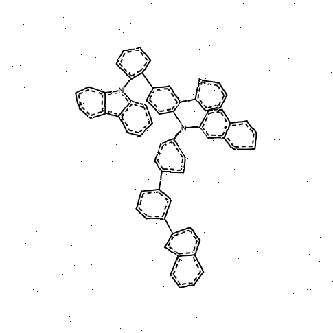 c1ccc(-c2cc(-c3ccccc3-n3c4ccccc4c4ccccc43)ccc2N(c2ccc(-c3cccc(-c4ccc5ccccc5c4)c3)cc2)c2ccc3ccccc3c2)cc1